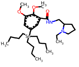 CCC[CH2][Sn]([CH2]CCC)([CH2]CCC)[c]1cc(OC)c(OC)c(C(=O)NCC2CCCN2CC)c1